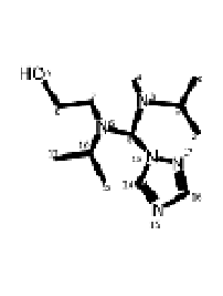 CC(C)N(C)C(N(CCO)C(C)C)n1cncn1